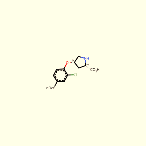 CCCCCCCCc1ccc(O[C@@H]2CN[C@H](C(=O)O)C2)c(Cl)c1